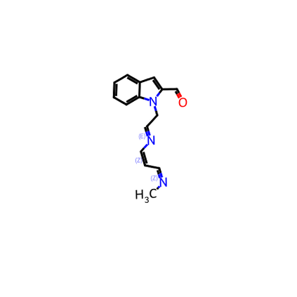 C\N=C/C=C\N=C\Cn1c(C=O)cc2ccccc21